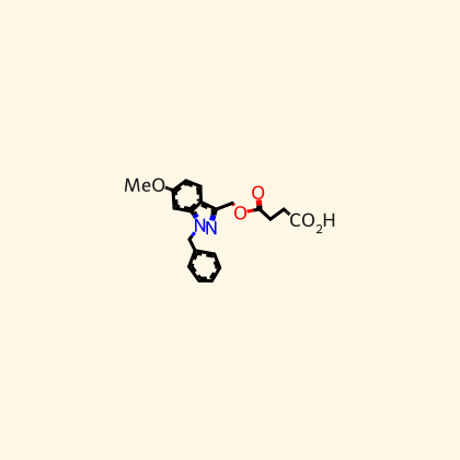 COc1ccc2c(COC(=O)CCC(=O)O)nn(Cc3ccccc3)c2c1